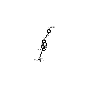 CCCCOc1ccc(OCCOc2ccc3c(c2)CC[C@@H]2[C@@H]3CC[C@]3(C)[C@@H](CCCCOC(C(F)(F)F)(C(F)(F)F)C(F)(F)F)CC[C@@H]23)cc1